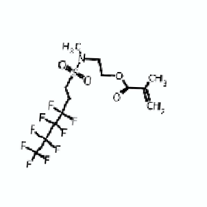 C=C(C)C(=O)OCCN(C)S(=O)(=O)CCC(F)(F)C(F)(F)C(F)(F)C(F)(F)F